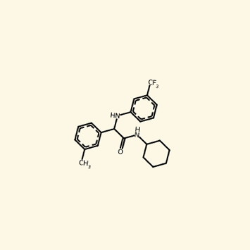 Cc1cccc(C(Nc2cccc(C(F)(F)F)c2)C(=O)NC2CCCCC2)c1